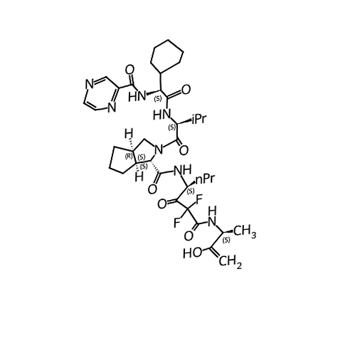 C=C(O)[C@H](C)NC(=O)C(F)(F)C(=O)[C@H](CCC)NC(=O)[C@@H]1[C@H]2CCC[C@H]2CN1C(=O)[C@@H](NC(=O)[C@@H](NC(=O)c1cnccn1)C1CCCCC1)C(C)C